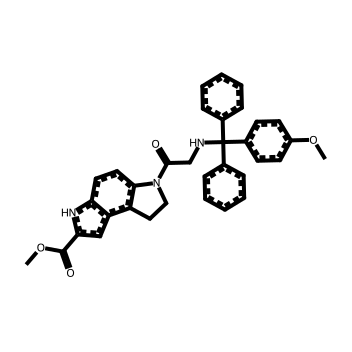 COC(=O)c1cc2c3c(ccc2[nH]1)N(C(=O)CNC(c1ccccc1)(c1ccccc1)c1ccc(OC)cc1)CC3